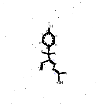 C=C/C(=C\C=C(/C)O)C(C)(C)c1ccc(O)cc1